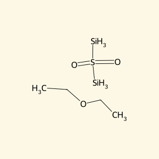 CCOCC.O=S(=O)([SiH3])[SiH3]